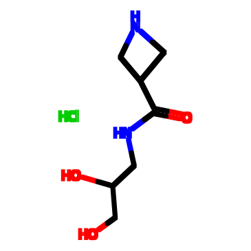 Cl.O=C(NCC(O)CO)C1CNC1